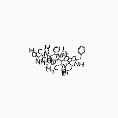 CC(C)C[C@H](NC(=O)Cc1ccccc1)C(=O)NC(C)C(=O)C(=O)NC(C)C(=O)NC(C)(C)C(N)=O